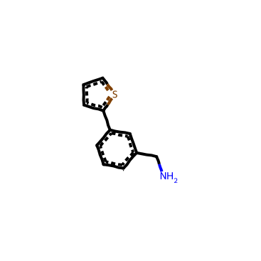 NCc1[c]ccc(-c2cccs2)c1